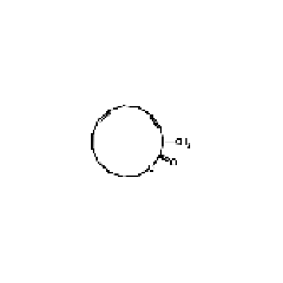 CC1C=CCCC=CCCCCCCOC1=O